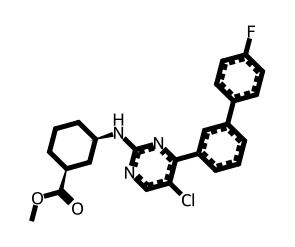 COC(=O)[C@H]1CCC[C@@H](Nc2ncc(Cl)c(-c3cccc(-c4ccc(F)cc4)c3)n2)C1